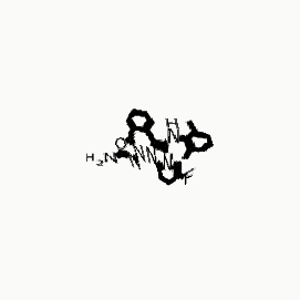 Cc1cccc(C)c1Nc1c(-c2ccccc2-c2nnc(N)o2)nc2ccc(F)cn12